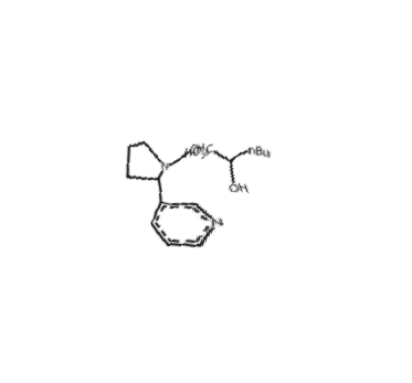 CCCCC(O)C(=O)O.CN1CCCC1c1cccnc1